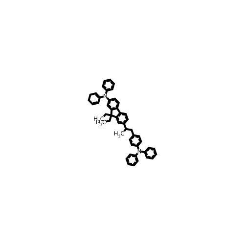 CCC1(CC)c2cc(C(C)Cc3ccc(N(c4ccccc4)c4ccccc4)cc3)ccc2-c2ccc(N(C3=CCCC=C3)c3ccccc3)cc21